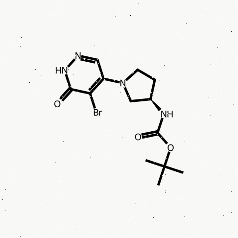 CC(C)(C)OC(=O)N[C@@H]1CCN(c2cn[nH]c(=O)c2Br)C1